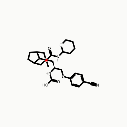 CN(C(=O)NC1CCCCO1)C1C2CCC1CN(C[C@@H](COc1ccc(C#N)cc1)NC(=O)O)C2